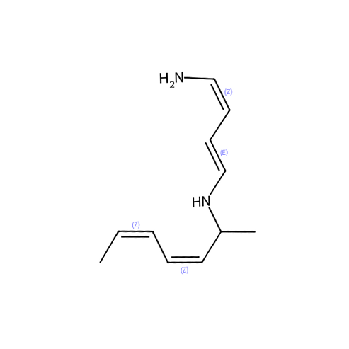 C/C=C\C=C/C(C)N/C=C/C=C\N